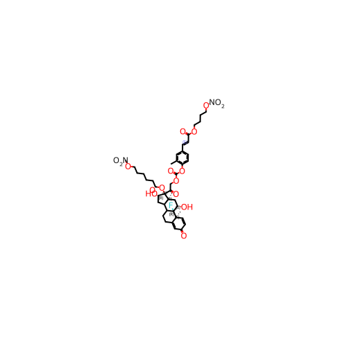 Cc1cc(/C=C/C(=O)OCCCCO[N+](=O)[O-])ccc1OC(=O)OCC(=O)[C@@]1(OC(=O)CCCCCO[N+](=O)[O-])[C@H](O)CC2C3CCC4=CC(=O)C=C[C@]4(C)[C@@]3(F)[C@@H](O)C[C@@]21C